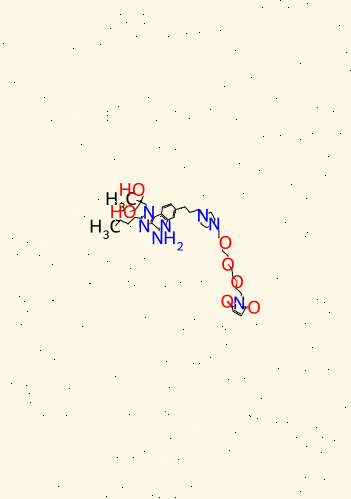 CCCCc1nc2c(N)nc3cc(CCCN4CCN(CCOCCOCCOCCN5C(=O)C=CC5=O)CC4)ccc3c2n1CC(C)(CO)CO